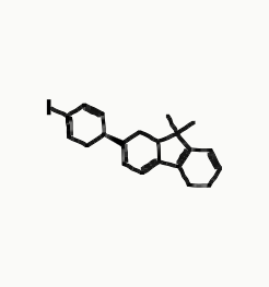 CC1(C)C2=C(CCC=C2)C2=CC=C([C@@H]3C=CC(I)=CC3)CC21